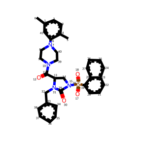 Cc1ccc(C)c(N2CCN(C(=O)C3CN(S(=O)(=O)c4cccc5ccccc45)C(=O)N3Cc3ccccc3)CC2)c1